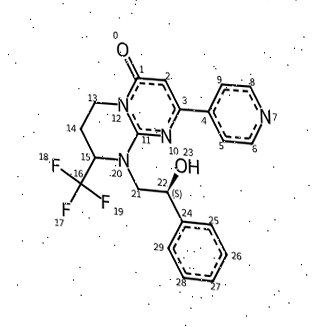 O=c1cc(-c2ccncc2)nc2n1CCC(C(F)(F)F)N2C[C@@H](O)c1ccccc1